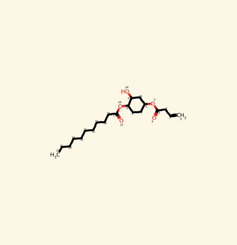 C=CCC(=O)OC1CCC(OC(=O)CCCCCCCCCC)C(O)C1